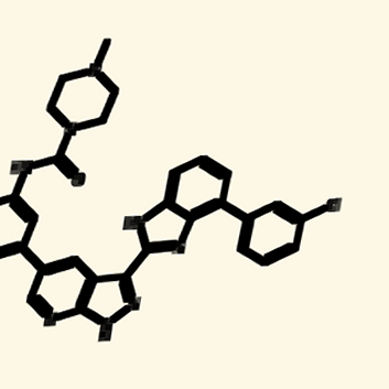 CN1CCN(C(=O)Nc2cncc(-c3cnc4[nH]nc(-c5nc6c(-c7cccc(Cl)c7)cccc6[nH]5)c4c3)c2)CC1